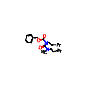 CC(C)CCN(C#N)C(=O)N(CCC(C)C)C(=O)OCc1ccccc1